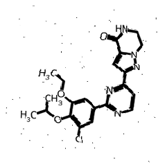 CCOc1cc(-c2nccc(-c3cc4n(n3)CCNC4=O)n2)cc(Cl)c1OC(C)C